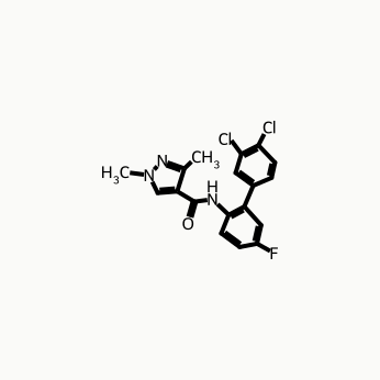 Cc1nn(C)cc1C(=O)Nc1ccc(F)cc1-c1ccc(Cl)c(Cl)c1